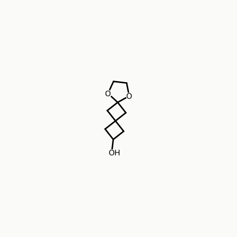 OC1CC2(C1)CC1(C2)OCCO1